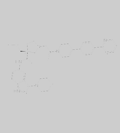 COC[C@@]1(C(=O)Nc2ccc3[nH]nc(N4CCOCC4)c3c2)CCN(CC(=O)N2CC=C(c3ccc(-c4ncccn4)cc3)CC2)C1